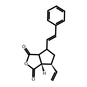 C=C[C@@H]1CC(/C=C/c2ccccc2)C2C(=O)OC(=O)[C@H]21